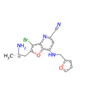 C[C@H](N)Cc1oc2c(NCc3ccco3)cc(C#N)nc2c1Br